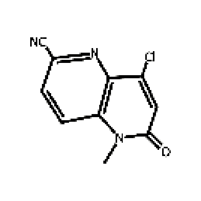 Cn1c(=O)cc(Cl)c2nc(C#N)ccc21